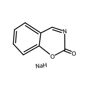 O=c1ncc2ccccc2o1.[NaH]